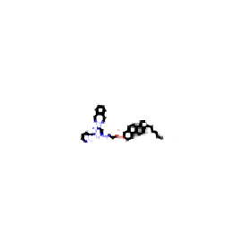 CC(C)CCC[C@@H](C)[C@H]1CC[C@H]2[C@@H]3CC=C4C[C@@H](OC(=O)CCNc5cc(N6CCc7ccccc7CC6)nc(-c6ccccn6)n5)CC[C@]4(C)[C@H]3CC[C@]12C